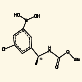 C[C@H](NC(=O)OC(C)(C)C)c1cc(Cl)cc(B(O)O)c1